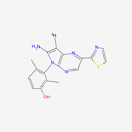 [2H]c1c(N)n(-c2c(C)ccc(O)c2C)c2ncc(-c3nccs3)nc12